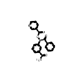 NC(=O)c1cccc(N(OC(=O)c2cccnc2)C(=O)c2ccccc2)c1